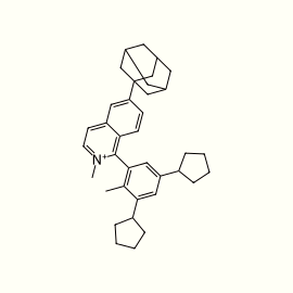 Cc1c(-c2c3ccc(C45CC6CC(CC(C6)C4)C5)cc3cc[n+]2C)cc(C2CCCC2)cc1C1CCCC1